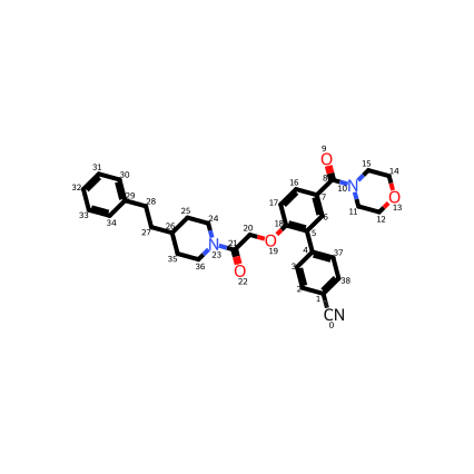 N#Cc1ccc(-c2cc(C(=O)N3CCOCC3)ccc2OCC(=O)N2CCC(CCc3ccccc3)CC2)cc1